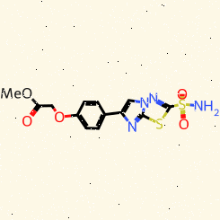 COC(=O)COc1ccc(-c2cn3nc(S(N)(=O)=O)sc3n2)cc1